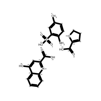 Cc1ccc(N)c(S(=O)(=O)O)c1.O=C(O)C1=CCCO1.O=C(O)c1cc(O)c2ccccc2n1